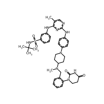 Cc1cnc(Nc2ccc(N3CCC(N(C)Cc4ccccc4N4CCC(=O)NC4=O)CC3)cc2)nc1Nc1cccc(S(=O)(=O)NC(C)(C)C)c1